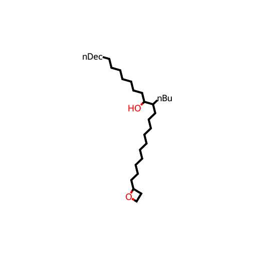 CCCCCCCCCCCCCCCCCC(O)C(CCCC)CCCCCCCCCCC1CCO1